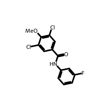 COc1c(Cl)cc(C(=O)Nc2cccc(F)c2)cc1Cl